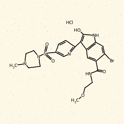 COCCNC(=O)c1cc2c(-c3ccc(S(=O)(=O)N4CCN(C)CC4)cn3)c(O)[nH]c2cc1Br.Cl